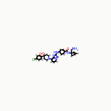 NCC1(NC(=O)c2ccc(Nc3nc4c(N5CCC(O)(c6ccc(Cl)cc6)CC5)cccn4n3)cc2)CC2CC21